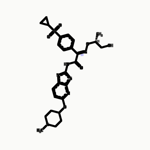 C[C@H](CO)O/N=C(/C(=O)Nc1nc2ccc(OC3CCN(C)CC3)nc2s1)c1ccc(S(=O)(=O)C2CC2)cc1